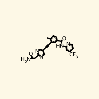 Cc1ccc(C(=O)Nc2cc(C(F)(F)F)ccn2)cc1C#Cc1cnc(CC(N)=O)nc1